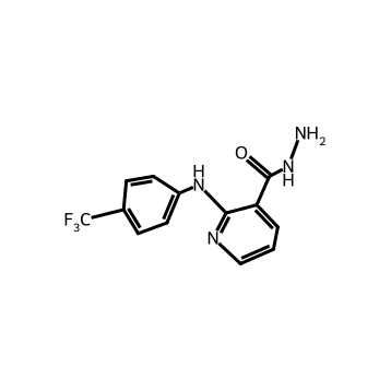 NNC(=O)c1cccnc1Nc1ccc(C(F)(F)F)cc1